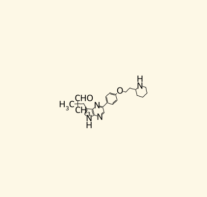 CC(C)(C=O)Cc1c[nH]c2ncc(-c3ccc(OCCC4CCCCN4)cc3)nc12